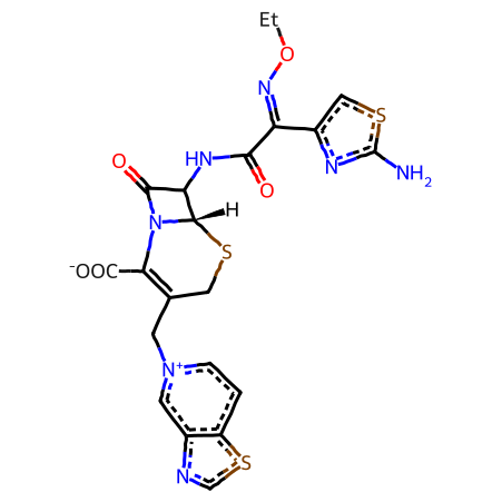 CCON=C(C(=O)NC1C(=O)N2C(C(=O)[O-])=C(C[n+]3ccc4scnc4c3)CS[C@@H]12)c1csc(N)n1